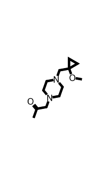 COC1(CN2CCN(CC(C)=O)CC2)CC1